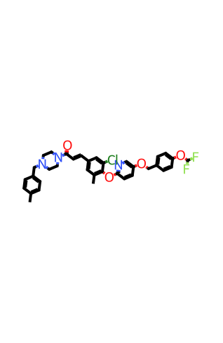 Cc1ccc(CN2CCN(C(=O)C=Cc3cc(C)c(Oc4ccc(OCc5ccc(OC(F)F)cc5)cn4)c(Cl)c3)CC2)cc1